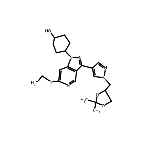 CCNc1cc2c(cn1)c(-c1cnn(CC3COC(C)(C)O3)c1)nn2C1CCC(O)CC1